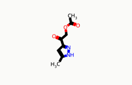 CC(=O)OCC(=O)c1cc(C)[nH]n1